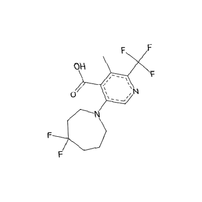 Cc1c(C(F)(F)F)ncc(N2CCCC(F)(F)CC2)c1C(=O)O